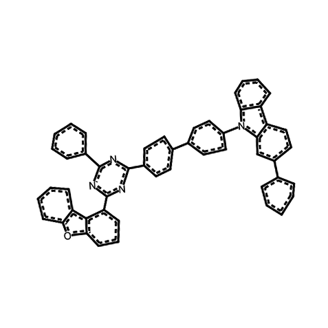 c1ccc(-c2ccc3c4ccccc4n(-c4ccc(-c5ccc(-c6nc(-c7ccccc7)nc(-c7cccc8oc9ccccc9c78)n6)cc5)cc4)c3c2)cc1